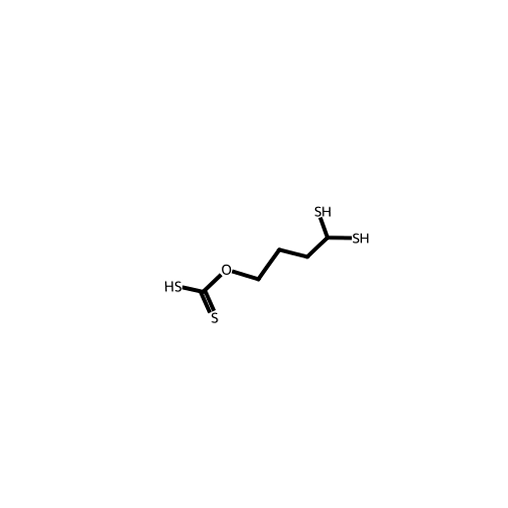 S=C(S)OCCCC(S)S